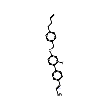 C=CCCc1ccc(COc2ccc(-c3ccc(/C=C/CCC)cc3)c(F)c2)cc1